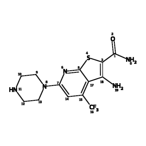 NC(=O)c1sc2nc(N3CCNCC3)cc(C(F)(F)F)c2c1N